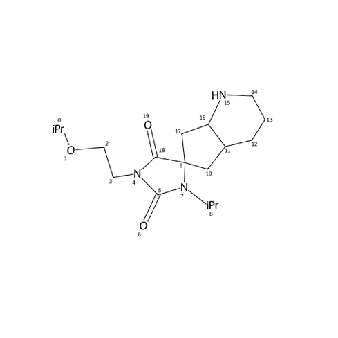 CC(C)OCCN1C(=O)N(C(C)C)C2(CC3CCCNC3C2)C1=O